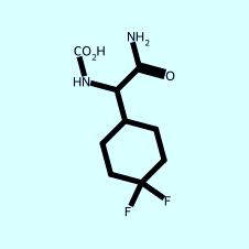 NC(=O)C(NC(=O)O)C1CCC(F)(F)CC1